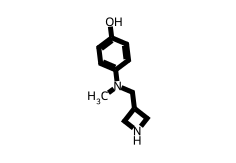 CN(CC1CNC1)c1ccc(O)cc1